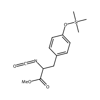 COC(=O)C(Cc1ccc(O[Si](C)(C)C)cc1)N=C=O